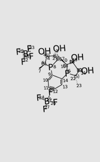 C[C@H]1[C@@H](O)[C@H](O)[C@H](C)P1c1ccccc1P1[C@@H](C)[C@@H](O)[C@H](O)[C@@H]1C.F[B-](F)(F)F.F[B-](F)(F)F